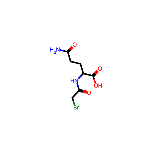 NC(=O)CCC(NC(=O)CBr)C(=O)O